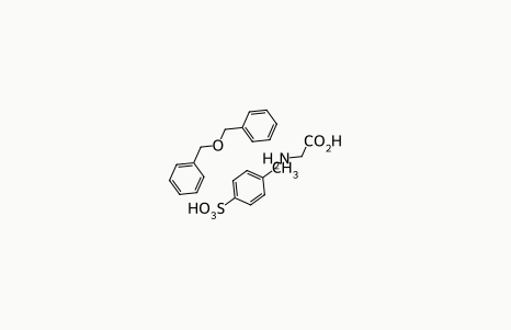 Cc1ccc(S(=O)(=O)O)cc1.NCC(=O)O.c1ccc(COCc2ccccc2)cc1